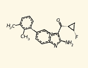 Cc1cccc(-c2ccc3nc(N)c(C(=O)[C@@H]4C[C@@H]4F)n3c2)c1C